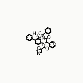 C[C@H](NC(=O)C(c1cccnc1)N(C(=O)c1cnco1)c1ccc(-c2ccccc2)cc1)c1ccccc1